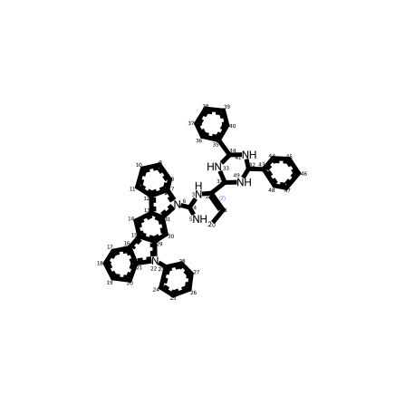 C/C=C(\NC(N)n1c2ccccc2c2cc3c4ccccc4n(-c4ccccc4)c3cc21)C1NC(c2ccccc2)NC(c2ccccc2)N1